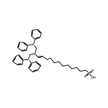 O=S(=O)(O)CCCCCCCCCC/C=C/N(CP(c1ccccc1)c1ccccc1)CP(c1ccccc1)c1ccccc1